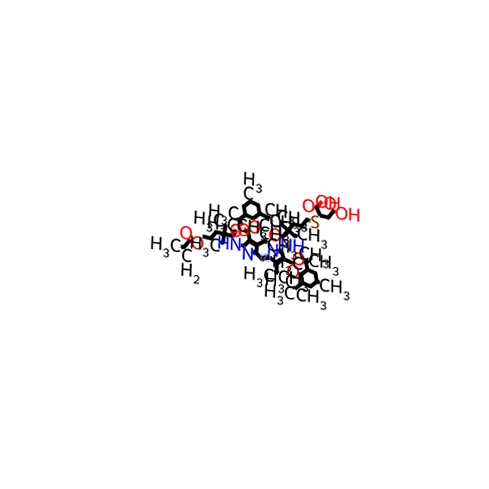 C=C(C)C(=O)OCCCC(CC)(CC)C(=O)NC1N=C(/C=C2\N=C(NC(=O)C(CC)(CC)CCCSC(CC(=O)O)C(=O)O)C(C(=O)OC3C(C(C)(C)C)CC(C)CC3C(C)(C)C)=C2C(C)C)C(C(C)C)=C1C(=O)OC1C(C(C)(C)C)CC(C)CC1C(C)(C)C